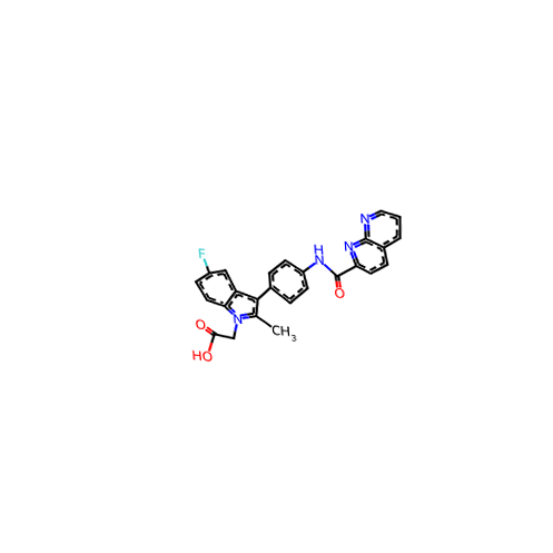 Cc1c(-c2ccc(NC(=O)c3ccc4cccnc4n3)cc2)c2cc(F)ccc2n1CC(=O)O